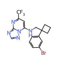 FC(F)(F)c1cc(NCC2(c3cccc(Br)c3)CCC2)n2ncnc2n1